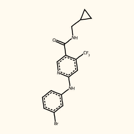 O=C(NCC1CC1)c1cnc(Nc2cccc(Br)c2)cc1C(F)(F)F